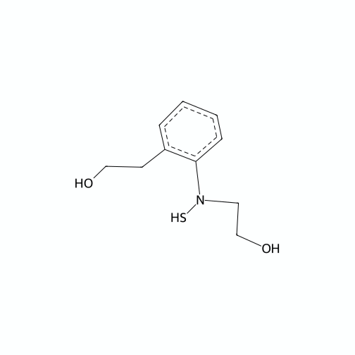 OCCc1ccccc1N(S)CCO